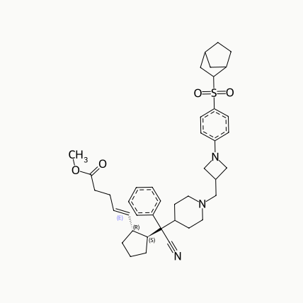 COC(=O)CC/C=C/[C@H]1CCC[C@@H]1C(C#N)(c1ccccc1)C1CCN(CC2CN(c3ccc(S(=O)(=O)C4CC5CCC4C5)cc3)C2)CC1